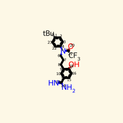 CC(C)(C)c1ccc(N(CCCc2cc(C(=N)N)ccc2O)C(=O)C(F)(F)F)cc1